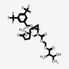 CC(O)C(N)C(=O)OCOC(=O)N1C[C@@]2(CCC(=O)N2)CC2C[C@]21CO[C@H](C)c1cc(C(F)(F)F)cc(C(F)(F)F)c1